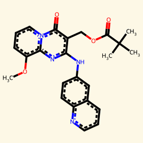 COc1cccn2c(=O)c(COC(=O)C(C)(C)C)c(Nc3ccc4ncccc4c3)nc12